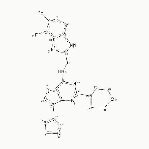 Fc1ccc2[nH]c(CNc3nc(N4CCOCC4)nc4c3ncn4-c3cncs3)nc2c1F